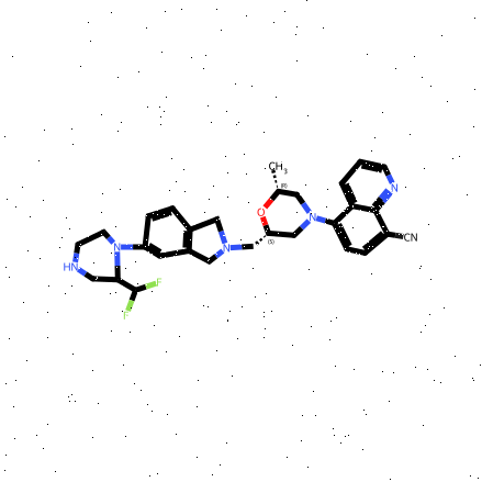 C[C@@H]1CN(c2ccc(C#N)c3ncccc23)C[C@H](CN2Cc3ccc(N4CCNCC4C(F)F)cc3C2)O1